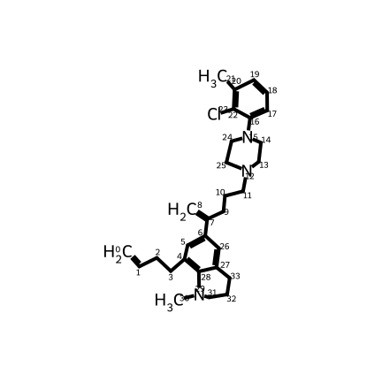 C=CCCc1cc(C(=C)CCCN2CCN(c3cccc(C)c3Cl)CC2)cc2c1N(C)CCC2